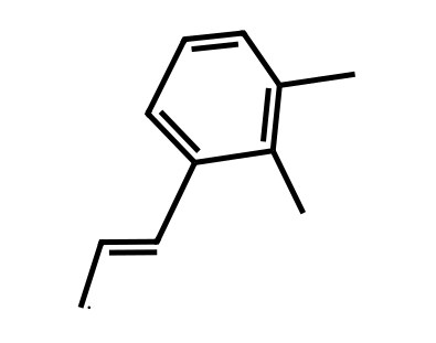 [CH2]/C=C/c1cccc(C)c1C